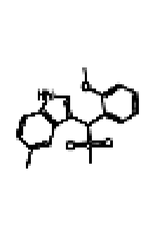 COc1ccccc1C(c1c[nH]c2ccc(C)cc12)S(C)(=O)=O